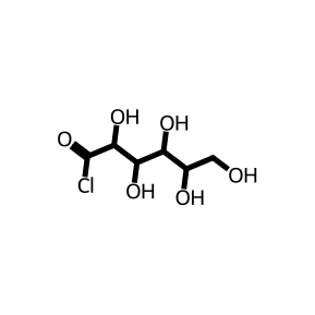 O=C(Cl)C(O)C(O)C(O)C(O)CO